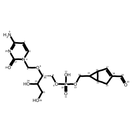 Nc1ccn(CO[C@H](COP(=O)(O)OCC2C3C=C(C=O)CC32)C(O)CO)c(=O)n1